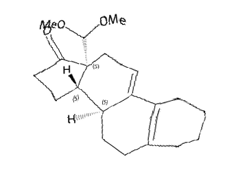 COC(OC)[C@]12CC=C3C4=C(CCCC4)CC[C@H]3[C@@H]1CCC2=O